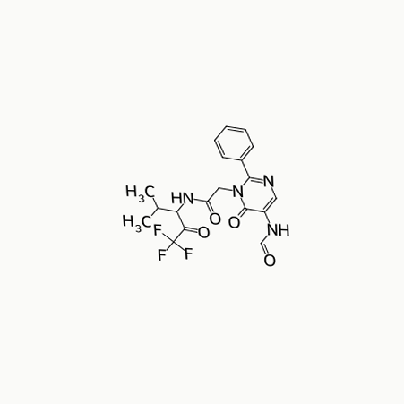 CC(C)C(NC(=O)Cn1c(-c2ccccc2)ncc(NC=O)c1=O)C(=O)C(F)(F)F